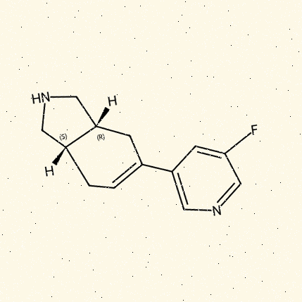 Fc1cncc(C2=CC[C@@H]3CNC[C@@H]3C2)c1